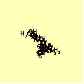 C[C@@H]1CN(c2cc(F)c(-c3cnc(N4CCC(C)(O)CC4)nc3)cc2NC(=O)c2ccc(F)cc2C(F)(F)F)CCN1C